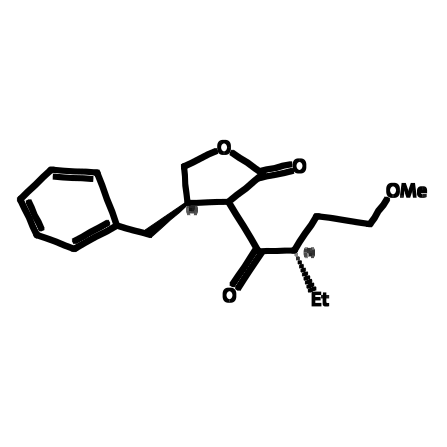 CC[C@@H](CCOC)C(=O)C1C(=O)OC[C@@H]1Cc1ccccc1